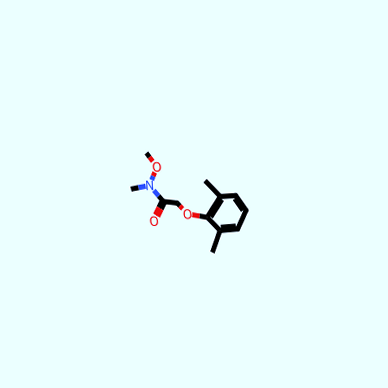 CON(C)C(=O)COc1c(C)cccc1C